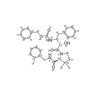 Cc1ccccc1CNC(=O)[C@H]1N(C(=O)[C@@H](O)C(Cc2ccccc2)NC(=O)OCc2ccccc2)CSC1(C)C